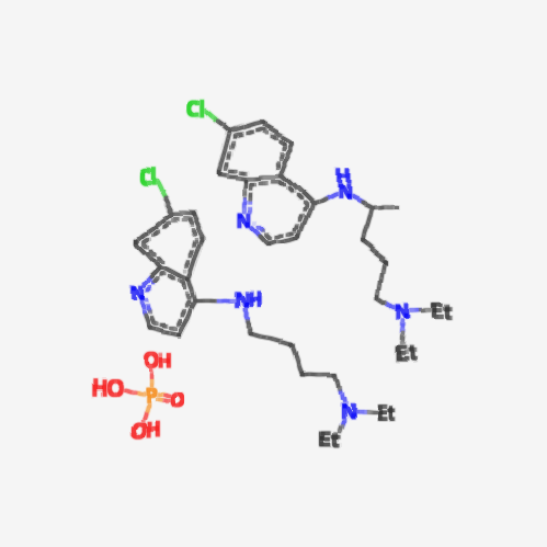 CCN(CC)CCCC(C)Nc1ccnc2cc(Cl)ccc12.CCN(CC)CCCCNc1ccnc2cc(Cl)ccc12.O=P(O)(O)O